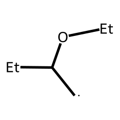 [CH2]C(CC)OCC